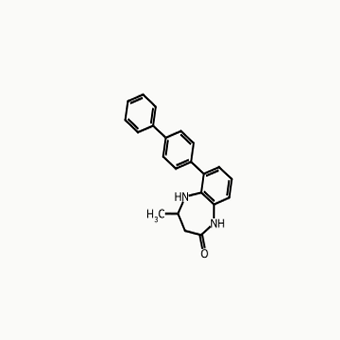 CC1CC(=O)Nc2cccc(-c3ccc(-c4ccccc4)cc3)c2N1